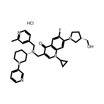 Cc1cc(CN(Cc2cn(C3CC3)c3cc(N4CC[C@H](CO)C4)c(F)cc3c2=O)[C@H]2CCCN(c3cccnc3)C2)ccn1.Cl